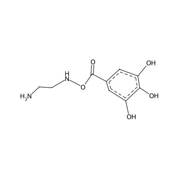 NCCNOC(=O)c1cc(O)c(O)c(O)c1